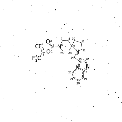 O=C(OC(C(F)(F)F)C(F)(F)F)N1CCC2(CCCN2Cc2cnc3ccccn23)CC1